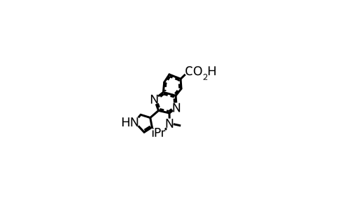 CC(C)N(C)c1nc2cc(C(=O)O)ccc2nc1C1C=CNC1